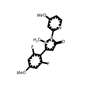 COc1ccnc(-n2c(=O)cc(-c3c(F)cc(OC)cc3F)n2C)c1